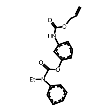 C=CCOC(=O)Nc1cccc(OC(=O)N(CC)c2ccccc2)c1